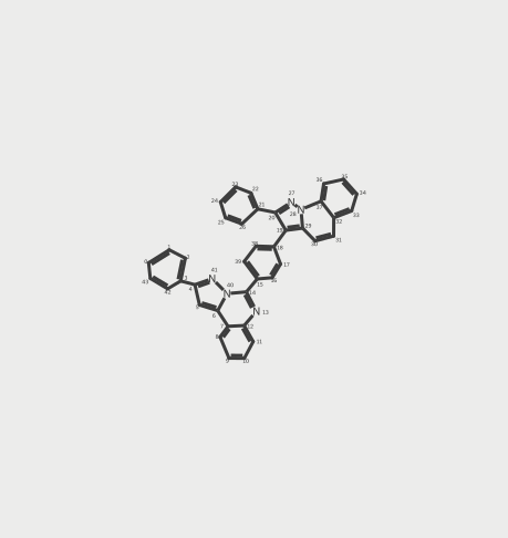 c1ccc(-c2cc3c4ccccc4nc(-c4ccc(-c5c(-c6ccccc6)nn6c5ccc5ccccc56)cc4)n3n2)cc1